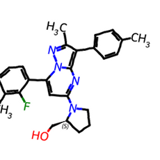 Cc1ccc(-c2c(C)nn3c(-c4cccc(C)c4F)cc(N4CCC[C@H]4CO)nc23)cc1